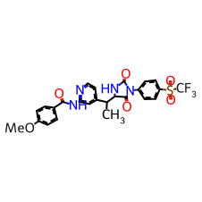 COc1ccc(C(=O)Nc2cc(C(C)C3NC(=O)N(c4ccc(S(=O)(=O)C(F)(F)F)cc4)C3=O)ccn2)cc1